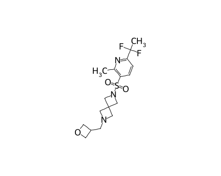 Cc1nc(C(C)(F)F)ccc1S(=O)(=O)N1CC2(CN(CC3COC3)C2)C1